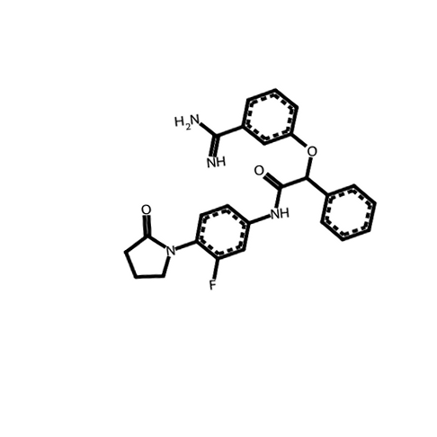 N=C(N)c1cccc(OC(C(=O)Nc2ccc(N3CCCC3=O)c(F)c2)c2ccccc2)c1